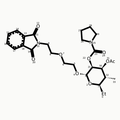 CC[C@H]1O[C@H](OCCOCCN2C(=O)c3ccccc3C2=O)[C@@H](OC(=O)N2CCCC2)[C@@H](OC(C)=O)[C@@H]1C